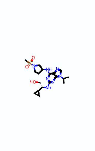 CC(C)n1cnc2c(N[C@H]3CCN(S(C)(=O)=O)C3)nc(N[C@@H](CO)C3CC3)nc21